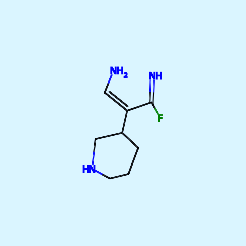 N=C(F)/C(=C\N)C1CCCNC1